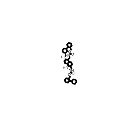 O=C(NCc1ccc2c(CNC(=O)OCc3ccccc3C3CCCCC3)c(O)ccc2c1O)OCc1ccccc1C1CCCCC1